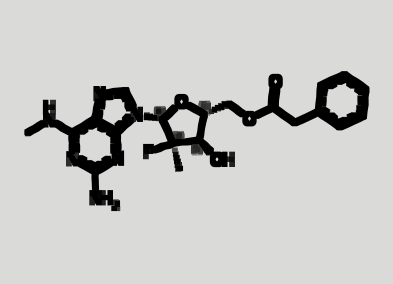 CNc1nc(N)nc2c1ncn2[C@@H]1O[C@H](COC(=O)Cc2ccccc2)[C@@H](O)[C@@]1(C)F